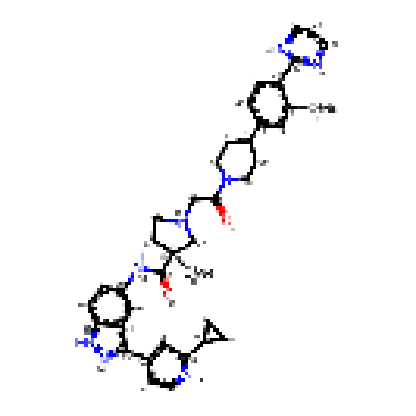 COc1cc(C2CCN(C(=O)CN3CC[C@@](OC)(C(=O)Nc4ccc5[nH]nc(-c6ccnc(C7CC7)c6)c5c4)C3)CC2)ccc1-c1ncccn1